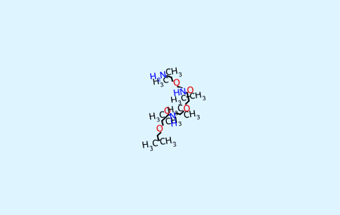 CC(C)CCOCCC(C)(C)C(=O)NCCC(C)(C)OCCC(C)(C)C(=O)NCCOCCC(C)(C)N